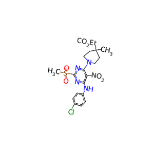 CCOC(=O)C1(C)CCN(c2nc(S(C)(=O)=O)nc(Nc3ccc(Cl)cc3)c2[N+](=O)[O-])CC1